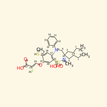 CCCCC1(CCCC)CN(c2ccccc2)c2cc(SC)c(OC=C(F)C(=O)O)cc2S(O)(O)N1C